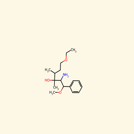 CCOCCC(C)C(C)(O)C(N)C(OC)c1ccccc1